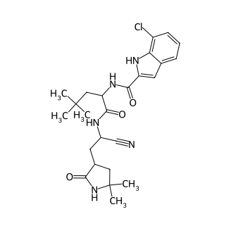 CC(C)(C)CC(NC(=O)c1cc2cccc(Cl)c2[nH]1)C(=O)NC(C#N)CC1CC(C)(C)NC1=O